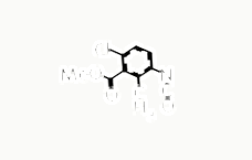 COC(=O)c1c(Cl)ccc(N=C=O)c1C